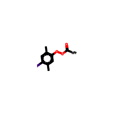 CCCC(=O)OOc1cc(C)c(I)cc1C